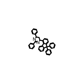 c1ccc(C2=NC(c3ccccc3)=NC(c3cccc4c3-c3ccccc3C4(c3ccccc3)c3ccccc3)C2)cc1